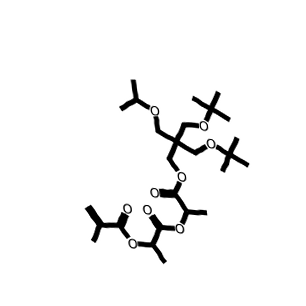 C=C(C)C(=O)OC(C)C(=O)OC(C)C(=O)OCC(COC(C)C)(COC(C)(C)C)COC(C)(C)C